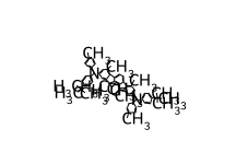 CC1=CCC(N(c2ccc(C(C)(C)C)cc2)c2cc(C)c3c(c2)C(C)(C)c2c-3ccc3c2C(C)(C)c2cc(N(c4ccc(C)cc4)c4ccc(C(C)(C)C)cc4)cc(C)c2-3)C=C1